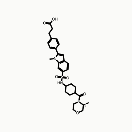 C[C@H]1COCCN1C(=O)C1CCC(NS(=O)(=O)c2ccc3cc(-c4ccc(CCC(=O)O)cc4)n(C)c3c2)CC1